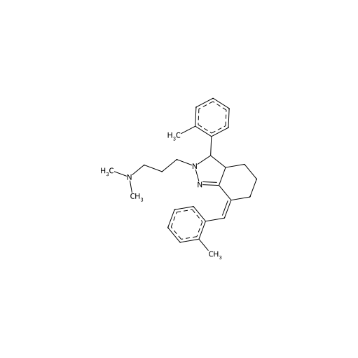 Cc1ccccc1/C=C1/CCCC2C1=NN(CCCN(C)C)C2c1ccccc1C